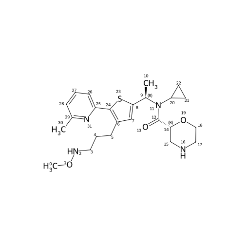 CONCCCc1cc([C@@H](C)N(C(=O)[C@H]2CNCCO2)C2CC2)sc1-c1cccc(C)n1